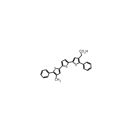 Cc1cc(-c2ccc(-c3cc(CC(=O)O)c(-c4ccccc4)s3)s2)sc1-c1ccccc1